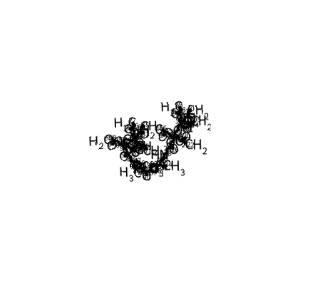 C=CC(=O)OCC(COCC(COC(=O)C=C)(COC(=O)C=C)COC(=O)CCNCCN(CC)c1ccc(C(=O)C(C)(CC)N2CCN(CCC(=O)OCC(COCC(COC(=O)C=C)(COC(=O)C=C)COC(=O)C=C)(COC(=O)C=C)COC(=O)C=C)CC2)cc1)(COC(=O)C=C)COC(=O)C=C